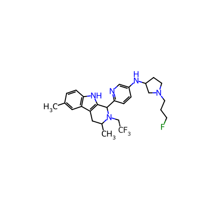 Cc1ccc2[nH]c3c(c2c1)CC(C)N(CC(F)(F)F)C3c1ccc(NC2CCN(CCCF)C2)cn1